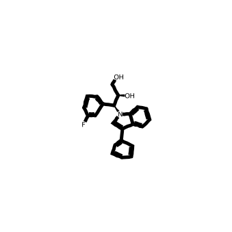 OC[C@@H](O)[C@H](c1cccc(F)c1)n1cc(-c2ccccc2)c2ccccc21